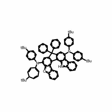 CC(C)(C)c1ccc(N(C2=CC=CC(C(C)(C)C)C=C2)c2cc3c(c4c2oc2ccccc24)-c2c(cc(N(c4ccc(C(C)(C)C)cc4)c4ccc(C(C)(C)C)cc4)c4c2[nH]c2ccccc24)C3(c2ccccc2)c2ccccc2)cc1